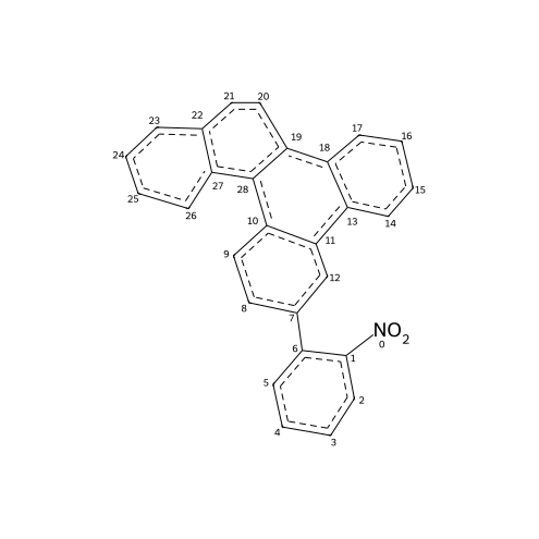 O=[N+]([O-])c1ccccc1-c1ccc2c(c1)c1ccccc1c1ccc3ccccc3c12